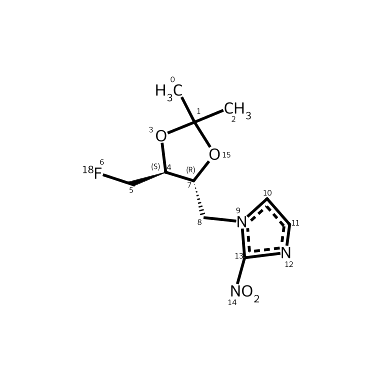 CC1(C)O[C@H](C[18F])[C@@H](Cn2ccnc2[N+](=O)[O-])O1